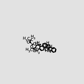 CC1(C)OC1[C@H]1O[C@H]2[C@H]3C[C@@]34C(=CC[C@@]3(C)[C@@]4(O)CC[C@H]4Cc5c([nH]c6ccccc56)[C@@]43C)O[C@@H]2C(C)(C)O1